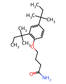 CCC(C)(C)c1ccc(OCCCC(N)=O)c(C(C)(C)CC)c1